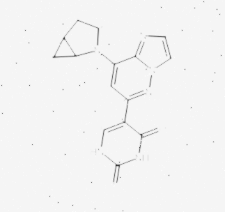 O=c1[nH]cc(-c2cc(N3CCC4CC43)c3nccn3n2)c(=O)[nH]1